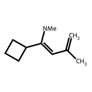 C=C(C)/C=C(\NC)C1CCC1